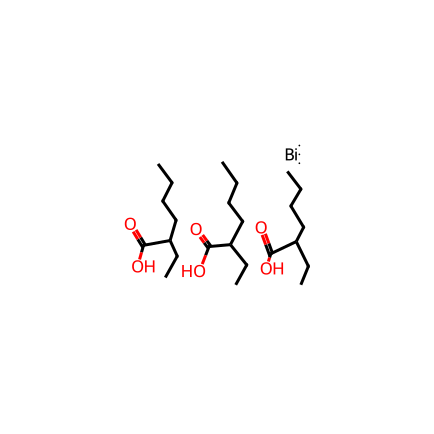 CCCCC(CC)C(=O)O.CCCCC(CC)C(=O)O.CCCCC(CC)C(=O)O.[Bi]